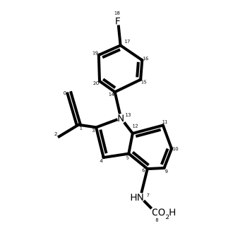 C=C(C)c1cc2c(NC(=O)O)cccc2n1-c1ccc(F)cc1